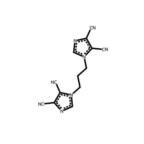 N#Cc1ncn(CCCn2cnc(C#N)c2C#N)c1C#N